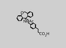 CC(=O)NC1(CCc2ccc(CCC(=O)O)cc2)c2ccccc2COc2ccccc21